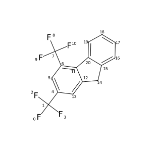 FC(F)(F)c1[c]c(C(F)(F)F)c2c(c1)Cc1ccccc1-2